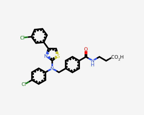 O=C(O)CCNC(=O)c1ccc(CN(c2ccc(Cl)cc2)c2nc(-c3cccc(Cl)c3)cs2)cc1